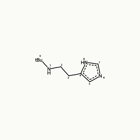 CC(C)(C)NCCc1cnc[nH]1